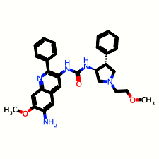 COCCN1C[C@@H](NC(=O)Nc2cc3cc(N)c(OC)cc3nc2-c2ccccc2)[C@H](c2ccccc2)C1